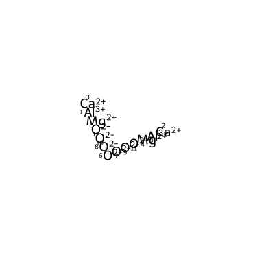 [Al+3].[Al+3].[Ca+2].[Ca+2].[Mg+2].[Mg+2].[O-2].[O-2].[O-2].[O-2].[O-2].[O-2].[O-2]